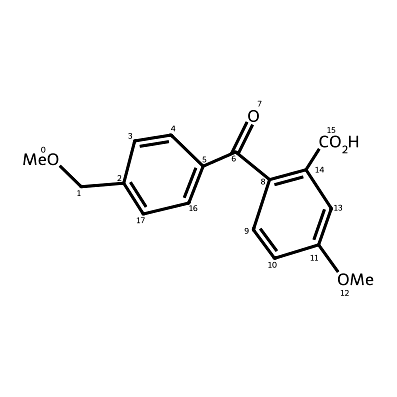 COCc1ccc(C(=O)c2ccc(OC)cc2C(=O)O)cc1